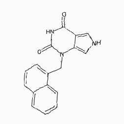 O=c1[nH]c(=O)n(Cc2cccc3ccccc23)c2c[nH]cc12